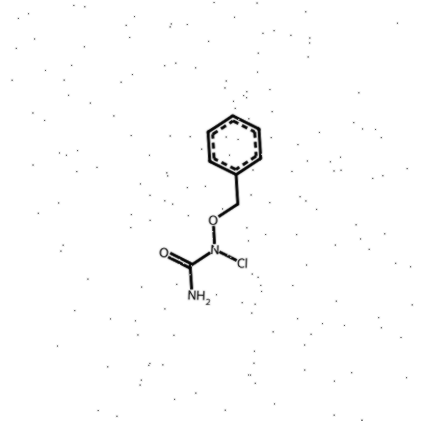 NC(=O)N(Cl)OCc1ccccc1